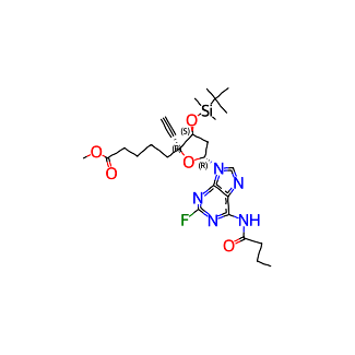 C#C[C@@]1(CCCCC(=O)OC)O[C@@H](n2cnc3c(NC(=O)CCC)nc(F)nc32)C[C@@H]1O[Si](C)(C)C(C)(C)C